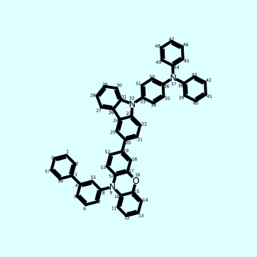 c1ccc(-c2cccc(N3c4ccccc4Oc4cc(-c5ccc6c(c5)c5ccccc5n6-c5ccc(N(c6ccccc6)c6ccccc6)cc5)ccc43)c2)cc1